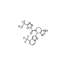 CC1(c2nnc(C(=O)N3CCc4[nH]cnc4C3c3cc4c(C(F)(F)F)cccn4n3)o2)CC1